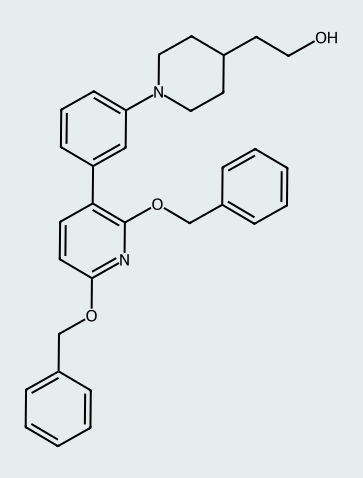 OCCC1CCN(c2cccc(-c3ccc(OCc4ccccc4)nc3OCc3ccccc3)c2)CC1